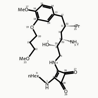 CCCCCCNc1c(NC[C@H](O)[C@@H](N)C[C@H](Cc2ccc(OC)c(OCCCOC)c2)C(C)C)c(=O)c1=O